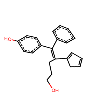 OCCCC(C1=CC=CC1)=C(c1ccccc1)c1ccc(O)cc1